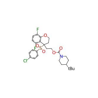 CC(C)(C)C1CCN(C(=O)OCCC2(S(=O)(=O)c3ccc(Cl)cc3)CCOc3c(F)ccc(F)c32)CC1